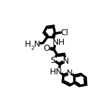 NCc1cccc(Cl)c1NC(=O)c1cnc(Nc2ccc3ccccc3n2)s1